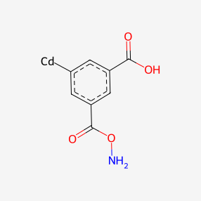 NOC(=O)c1c[c]([Cd])cc(C(=O)O)c1